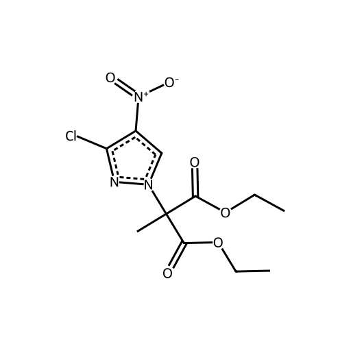 CCOC(=O)C(C)(C(=O)OCC)n1cc([N+](=O)[O-])c(Cl)n1